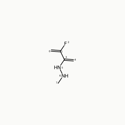 C=C(F)C(=C)NNC